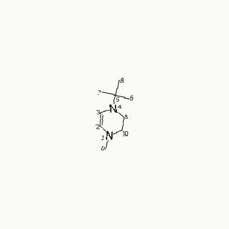 CN1C=CN(C(C)(C)C)CC1